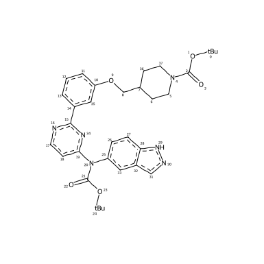 CC(C)(C)OC(=O)N1CCC(COc2cccc(-c3nccc(N(C(=O)OC(C)(C)C)c4ccc5[nH]ncc5c4)n3)c2)CC1